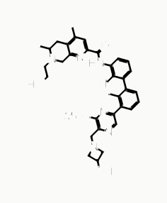 COc1nc(-c2cccc(-c3cccc(NC(=O)c4cc(C)c5c(n4)CN(CCO)C(C)C5)c3Cl)c2Cl)cnc1CN1CC(O)C1